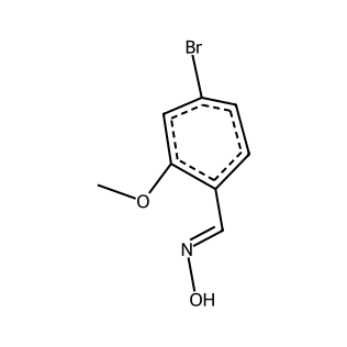 COc1cc(Br)ccc1/C=N/O